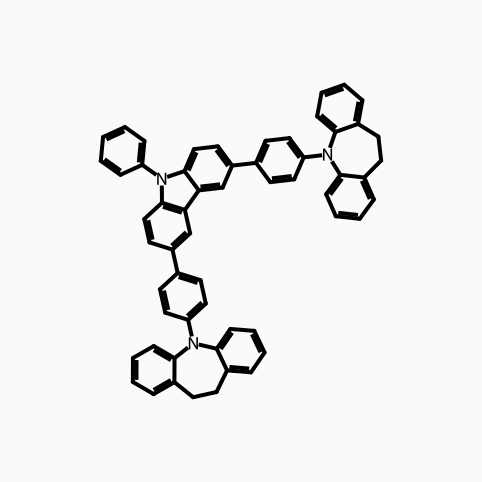 c1ccc(-n2c3ccc(-c4ccc(N5c6ccccc6CCc6ccccc65)cc4)cc3c3cc(-c4ccc(N5c6ccccc6CCc6ccccc65)cc4)ccc32)cc1